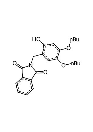 CCCCOc1cc(CN2C(=O)c3ccccc3C2=O)[n+](O)cc1OCCCC